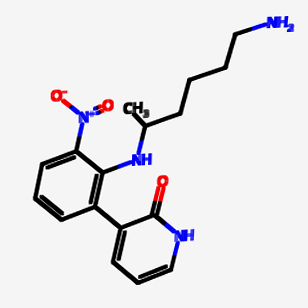 CC(CCCCN)Nc1c(-c2ccc[nH]c2=O)cccc1[N+](=O)[O-]